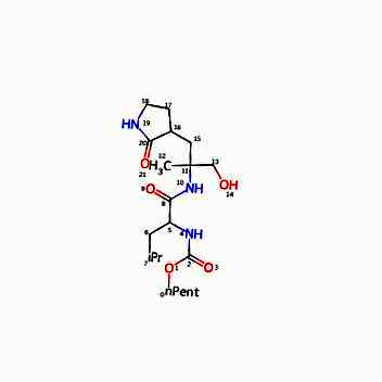 CCCCCOC(=O)NC(CC(C)C)C(=O)NC(C)(CO)CC1CCNC1=O